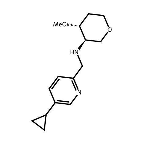 CO[C@@H]1CCOC[C@H]1NCc1ccc(C2CC2)cn1